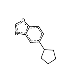 c1nc2cc(C3CCCC3)ccc2o1